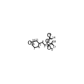 CO[Si](CCC1CCC2OC2C1)(OC(C)=O)C(C)C